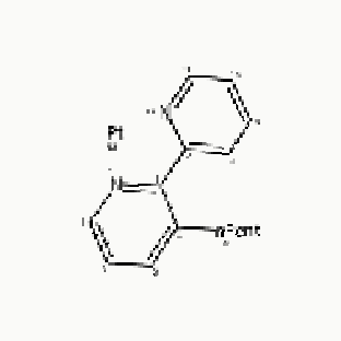 CCCCCc1cccnc1-c1ccccn1.[Pt]